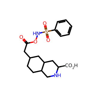 O=C(CC1CCC2CNC(C(=O)O)CC2C1)ONS(=O)(=O)c1ccccc1